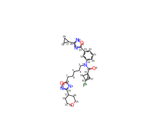 O=C(N(CCCCCc1nc(C2CCOCC2)no1)c1cccc(-c2nc(C3CC3)no2)c1)C12CC(F)(C1)C2